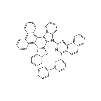 c1ccc(-c2cccc(-c3nc(-n4c5ccccc5c5c6c7ccccc7c7ccccc7c6c6c7ccccc7sc6c54)nc4c3ccc3ccccc34)c2)cc1